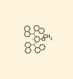 COc1cc(C(c2cccc3ccccc23)c2cccc3ccccc23)[c]c(C(c2cccc3ccccc23)c2cccc3ccccc23)c1